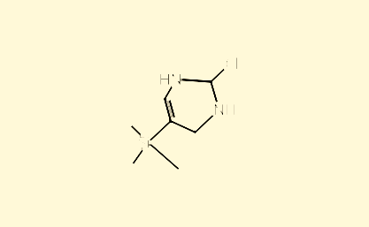 C[Si](C)(C)C1=CNC(Cl)NC1